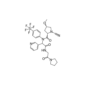 CO[C@@H]1C[C@H](C(=O)N(c2ccc(S(F)(F)(F)(F)F)cc2)C(C(=O)NCC(=O)N2CCCC2)c2cccnc2)N(C#N)C1